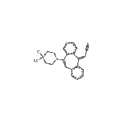 C[N+]1([O-])CCN(C2=Cc3ccccc3/C(=C/C#N)c3ccccc32)CC1